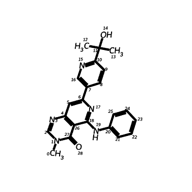 Cn1cnc2cc(-c3ccc(C(C)(C)O)nc3)nc(Nc3ccccc3)c2c1=O